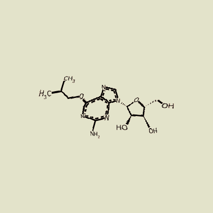 CC(C)COc1nc(N)nc2c1ncn2[C@@H]1O[C@H](CO)[C@@H](O)[C@H]1O